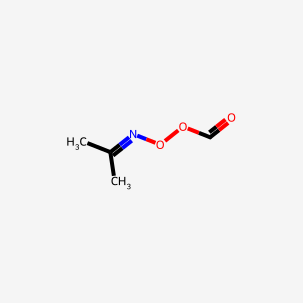 CC(C)=NOOC=O